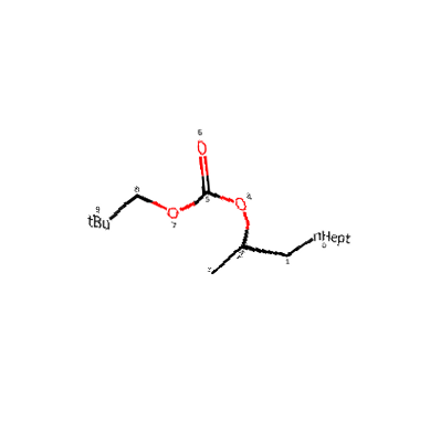 CCCCCCCCC(C)OC(=O)OCC(C)(C)C